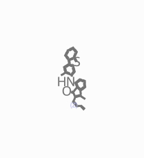 C=C/C=C\C1=C(C)c2cccc(Nc3cc4sc5ccccc5c4cc3C)c2C1=O